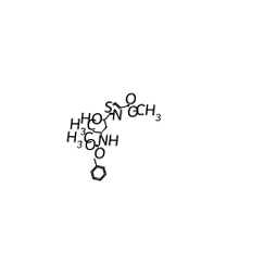 COC(=O)c1csc([C@H](O)C[C@@H](NC(=O)OCc2ccccc2)C(C)C)n1